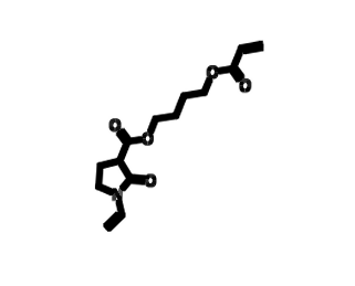 C=CC(=O)OCCCCOC(=O)C1CCN(C=C)C1=O